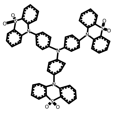 O=S1(=O)c2ccccc2N(c2ccc(N(c3ccc(N4c5ccccc5S(=O)(=O)c5ccccc54)cc3)c3ccc(N4c5ccccc5S(=O)(=O)c5ccccc54)cc3)cc2)c2ccccc21